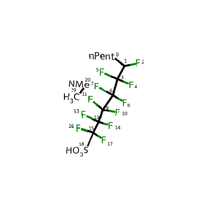 CCCCCC(F)C(F)(F)C(F)(F)C(F)(F)C(F)(F)C(F)(F)S(=O)(=O)O.CNC